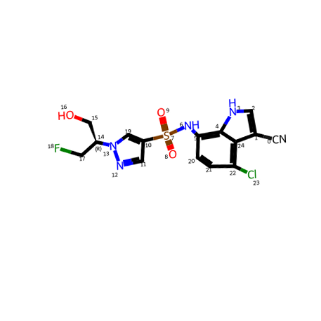 N#Cc1c[nH]c2c(NS(=O)(=O)c3cnn([C@H](CO)CF)c3)ccc(Cl)c12